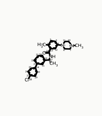 Cc1ccc(N2CCN(C)CC2)cc1C(=O)N[C@H](C)c1cccc(-c2ccc(Cl)cc2)c1